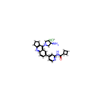 Cl.NC1CCN(c2c3c(nc4ccc(-c5ccnc(NC(=O)C6CCC6)c5)cc24)CCC3)C1